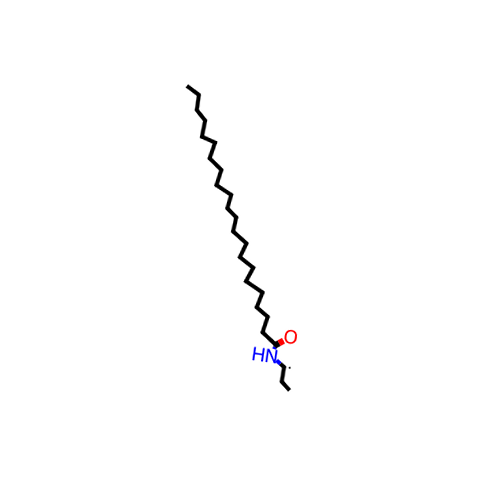 CC[CH]NC(=O)CCCCCCCCCCCCCCCCCCCCC